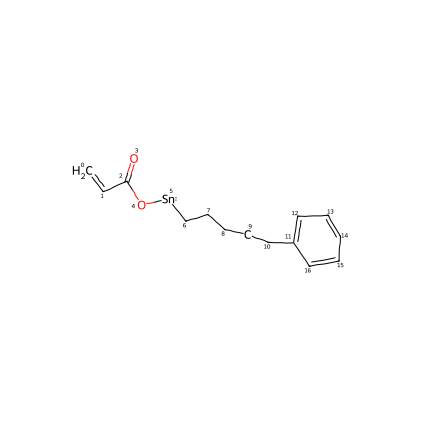 C=CC(=O)[O][Sn][CH2]CCCCc1ccccc1